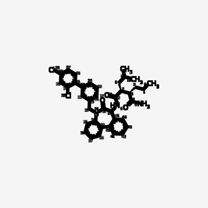 CCC[C@H](C(N)=O)[C@@H](CC(C)C)C(=O)NC1C(=O)N(Cc2cccc(-c3ccc(Cl)cc3Cl)c2)c2ccccc2-c2ccccc21